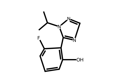 CC(C)n1ncnc1-c1c(O)cccc1F